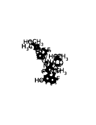 C#Cc1c(F)ccc2cc(O)cc(-c3nc(OC)c4c(N5CCOC[C@@](C)(O)C5)nc(OC[C@]56CCC[C@H]5N(C5CC(C(C)(C)O)C5)C[C@@H](F)C6)nc4c3F)c12